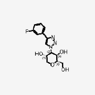 OC[C@H]1OC[C@H](O)[C@H](n2cc(-c3cccc(F)c3)nn2)[C@H]1O